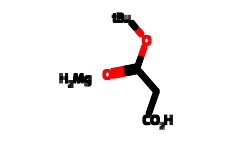 CC(C)(C)OC(=O)CC(=O)O.[MgH2]